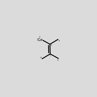 CC(C)=[C](C)[Ge]